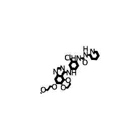 COCCOc1cc2ncnc(Nc3ccc(NC(=O)Nc4ccccn4)c(Cl)c3)c2c2c1OCCO2